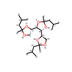 CC(C)CC1(C)O[C@H]([C@@H]2COC(C)(CC(C)C)O2)[C@@H]([C@H]2COC(C)(CC(C)C)O2)O1